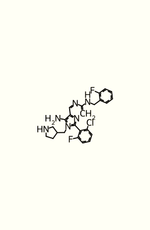 C=C(/N=C\c1nc(-c2c(F)cccc2Cl)n(CC2CCNC2)c1N)NCc1ccccc1F